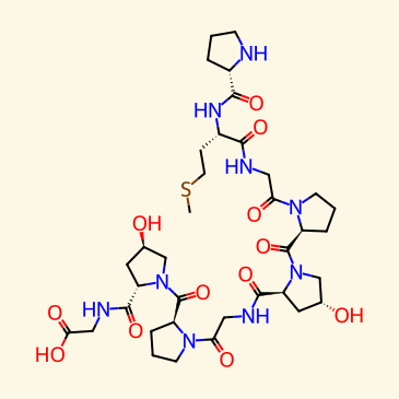 CSCC[C@H](NC(=O)[C@@H]1CCCN1)C(=O)NCC(=O)N1CCC[C@H]1C(=O)N1C[C@H](O)C[C@H]1C(=O)NCC(=O)N1CCC[C@H]1C(=O)N1C[C@H](O)C[C@H]1C(=O)NCC(=O)O